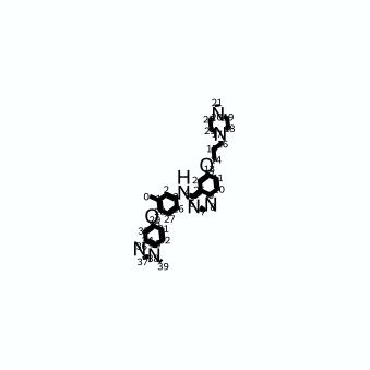 Cc1cc(Nc2ncnc3ccc(OCCCN4CCN(C)CC4)cc23)ccc1Oc1ccc2c(c1)ncn2C